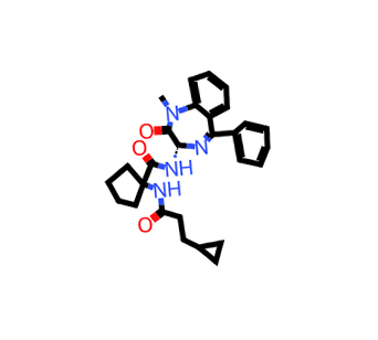 CN1C(=O)[C@@H](NC(=O)C2(NC(=O)CCC3CC3)CCCC2)N=C(c2ccccc2)c2ccccc21